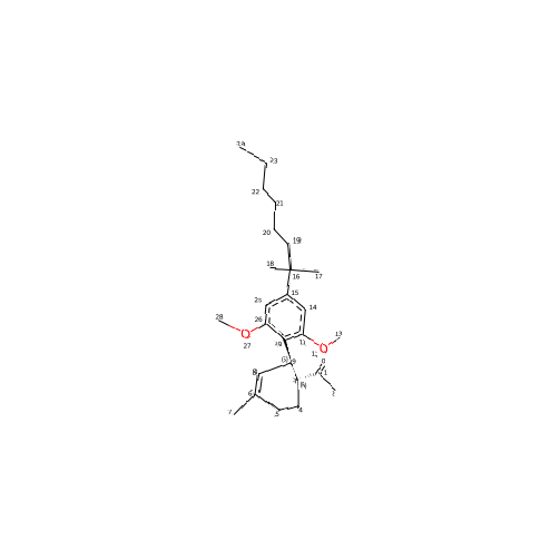 C=C(C)[C@@H]1CCC(C)=C[C@H]1c1c(OC)cc(C(C)(C)CCCCCC)cc1OC